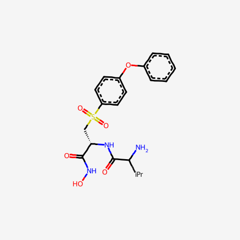 CC(C)C(N)C(=O)N[C@@H](CS(=O)(=O)c1ccc(Oc2ccccc2)cc1)C(=O)NO